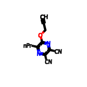 C#CCOc1nc(C#N)c(C#N)nc1CCC